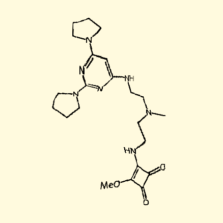 COc1c(NCCN(C)CCNc2cc(N3CCCC3)nc(N3CCCC3)n2)c(=O)c1=O